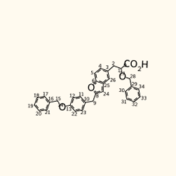 O=C(O)C(Cc1ccc2oc(Cc3ccc(OCc4ccccc4)cc3)cc2c1)OCc1ccccc1